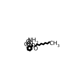 CCCCCCCCC(=O)Oc1ccccc1S(=O)(=O)ON